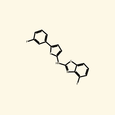 Fc1cccc(-c2ccc(Nc3nc4c(F)cccc4s3)s2)c1